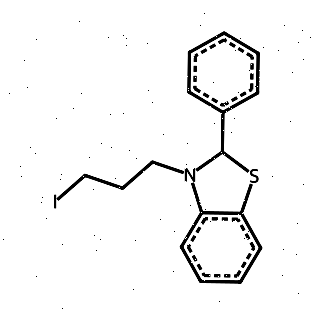 ICCCN1c2ccccc2SC1c1ccccc1